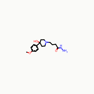 COc1ccc(C2(O)CCN(CCCC(=O)NN)CC2)cc1